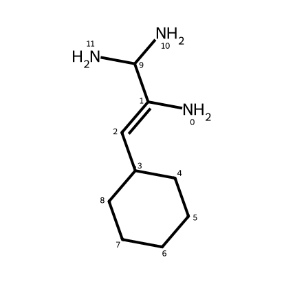 NC(=C[C]1CCCCC1)C(N)N